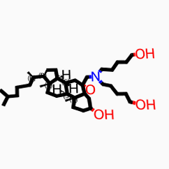 CC(C)CCC[C@@H](C)[C@H]1CC[C@H]2[C@@H]3CC4(CN(CCCCCO)CCCCCO)OC45CC(O)CC[C@]5(C)[C@H]3CC[C@]12C